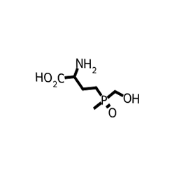 CP(=O)(CO)CCC(N)C(=O)O